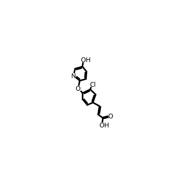 O=C(O)/C=C/c1ccc(Oc2ccc(O)cn2)c(Cl)c1